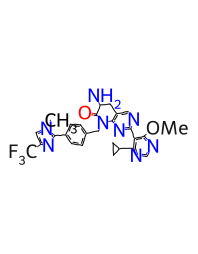 COc1ncnc(C2CC2)c1-c1ncc2c(n1)N(Cc1ccc(-c3nc(C(F)(F)F)cn3C)cc1)C(=O)C(N)C2